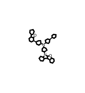 c1ccc(-c2ccc(N(c3ccc(-c4cccc5c4oc4ccccc45)cc3)c3ccc(-n4c5ccccc5c5c6ccccc6oc54)cc3)cc2)cc1